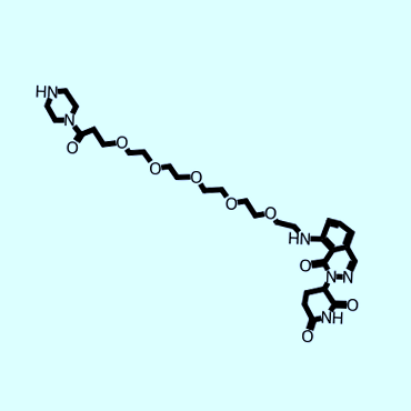 O=C1CCC(n2ncc3cccc(NCCOCCOCCOCCOCCOCCC(=O)N4CCNCC4)c3c2=O)C(=O)N1